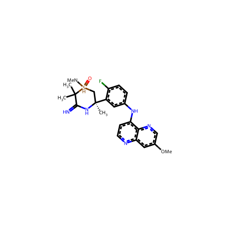 CN[SH]1(=O)C[C@@](C)(c2cc(Nc3ccnc4cc(OC)cnc34)ccc2F)NC(=N)C1(C)C